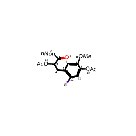 CCCCCCCCCC(=O)C(Cc1cc(OC)c(OC(C)=O)cc1I)OC(C)=O